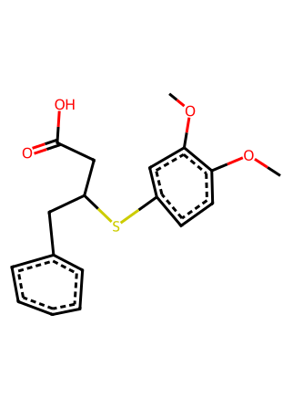 COc1ccc(SC(CC(=O)O)Cc2ccccc2)cc1OC